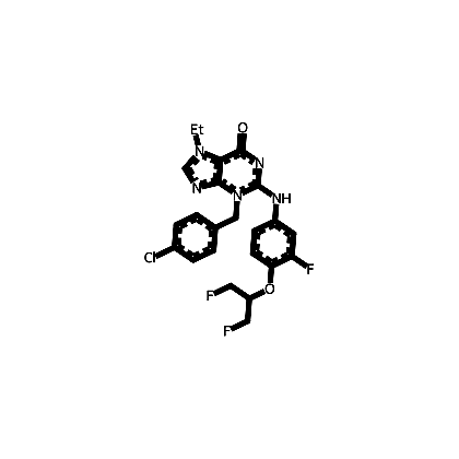 CCn1cnc2c1c(=O)nc(Nc1ccc(OC(CF)CF)c(F)c1)n2Cc1ccc(Cl)cc1